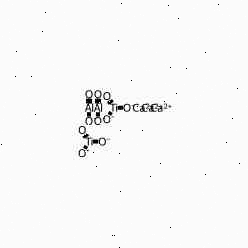 [Ca+2].[Ca+2].[Ca+2].[O]=[Al][O-].[O]=[Al][O-].[O]=[Ti]([O-])[O-].[O]=[Ti]([O-])[O-]